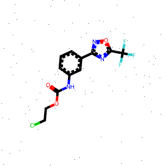 O=C(Nc1cccc(-c2noc(C(F)(F)F)n2)c1)OCCCl